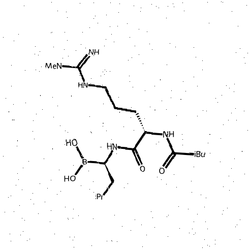 CCC(C)C(=O)N[C@@H](CCCNC(=N)NC)C(=O)N[C@@H](CC(C)C)B(O)O